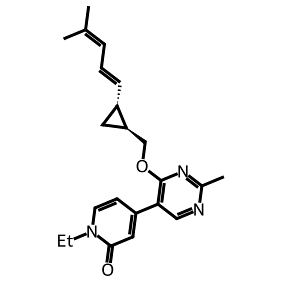 CCn1ccc(-c2cnc(C)nc2OC[C@H]2C[C@@H]2/C=C/C=C(C)C)cc1=O